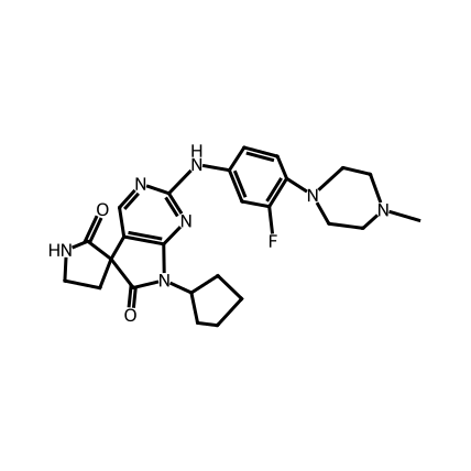 CN1CCN(c2ccc(Nc3ncc4c(n3)N(C3CCCC3)C(=O)C43CCNC3=O)cc2F)CC1